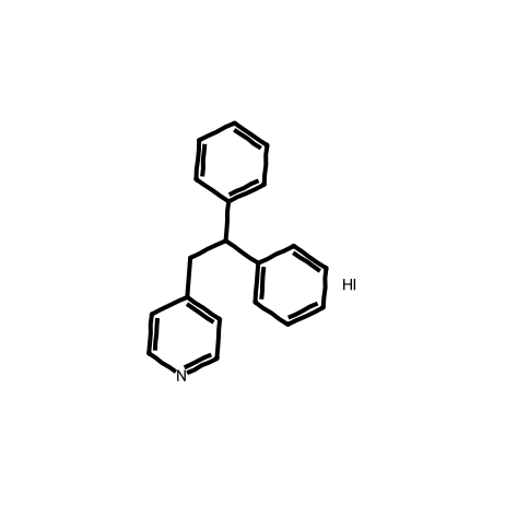 I.c1ccc(C(Cc2ccncc2)c2ccccc2)cc1